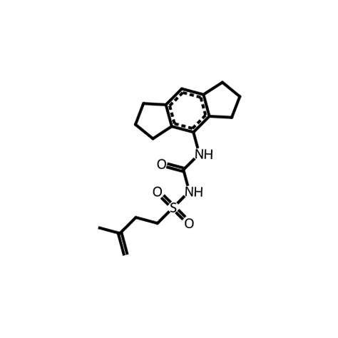 C=C(C)CCS(=O)(=O)NC(=O)Nc1c2c(cc3c1CCC3)CCC2